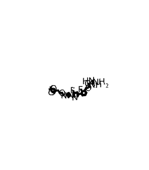 CC1(C)OCC(CCON=C2CN(c3ncc(-c4cccc(COC(=O)NC(=N)N)c4F)cc3F)C2)O1